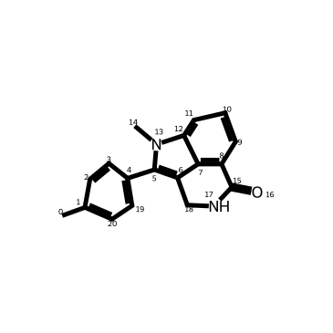 Cc1ccc(-c2c3c4c(cccc4n2C)C(=O)NC3)cc1